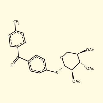 CC(=O)O[C@@H]1[C@@H](OC(C)=O)[C@H](Sc2ccc(C(=O)c3ccc(C(F)(F)F)cc3)cc2)OC[C@H]1OC(C)=O